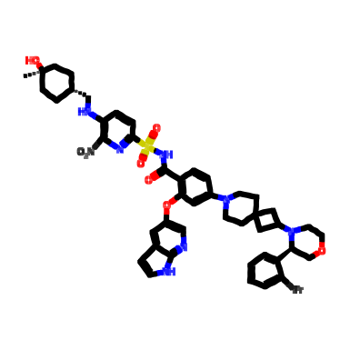 CC(C)c1ccccc1[C@@H]1COCCN1C1CC2(CCN(c3ccc(C(=O)NS(=O)(=O)c4ccc(NC[C@H]5CC[C@](C)(O)CC5)c([N+](=O)[O-])n4)c(Oc4cnc5[nH]ccc5c4)c3)CC2)C1